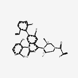 C=Cc1cccc(F)c1-c1cc2c(cc1F)c(N1[C@@H](C)CN(C(=O)C(=C)F)C[C@@H]1C)nc(=O)n2-c1c(C(C)C)ccnc1C(C)C